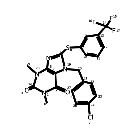 Cn1c(=O)c2c(nc(Sc3cccc(C(F)(F)F)c3)n2Cc2ccc(Cl)cc2)n(C)c1=O